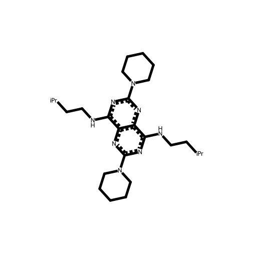 CC(C)CCNc1nc(N2CCCCC2)nc2c(NCCC(C)C)nc(N3CCCCC3)nc12